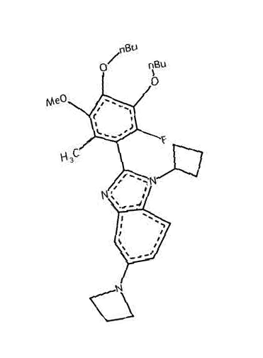 CCCCOc1c(F)c(-c2nc3cc(N4CCC4)ccc3n2C2CCC2)c(C)c(OC)c1OCCCC